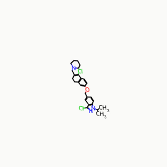 CC(C)n1nc(Cl)c2cc(COc3ccc4c(c3)CCC(CN3CCCCC3)=C4Cl)ccc21